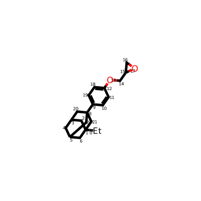 CCC12CC3CC(C1)CC(c1ccc(OCC4CO4)cc1)(C3)C2